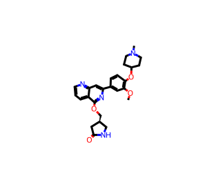 COc1cc(-c2cc3ncccc3c(OC[C@H]3CNC(=O)C3)n2)ccc1OC1CCN(C)CC1